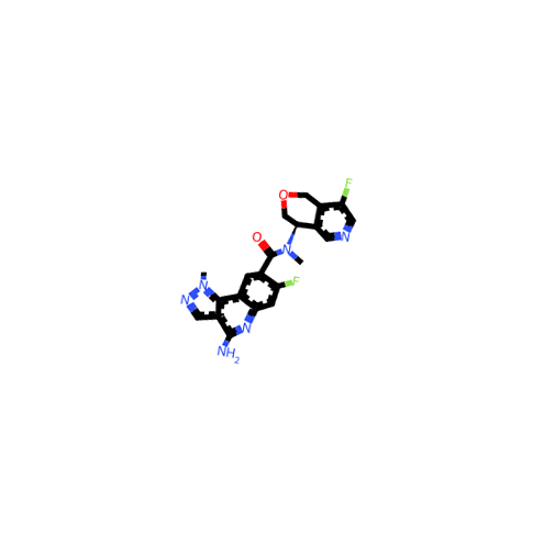 CN(C(=O)c1cc2c(cc1F)nc(N)c1cnn(C)c12)[C@H]1COCc2c(F)cncc21